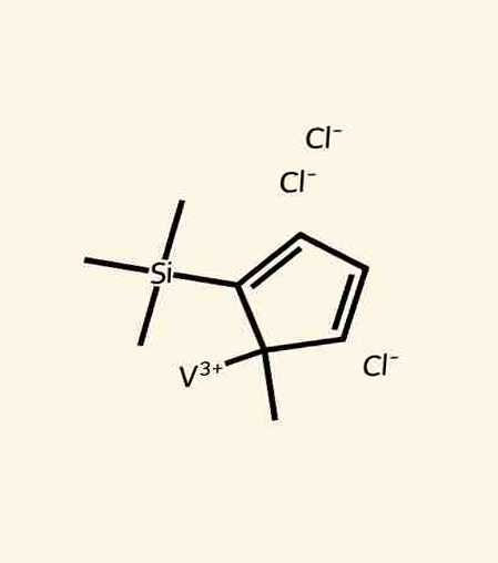 C[C]1([V+3])C=CC=C1[Si](C)(C)C.[Cl-].[Cl-].[Cl-]